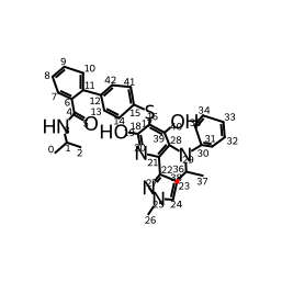 CC(C)NC(=O)c1ccccc1-c1ccc(Sc2c(O)nc(-c3ccn(C)n3)c(N(c3ccccc3)C(C)C)c2O)cc1